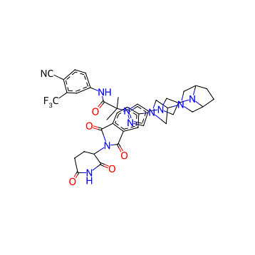 CC(C)(C(=O)Nc1ccc(C#N)c(C(F)(F)F)c1)n1cc(N2CC(N3C4CCC3CN(C3CN(c5ccc6c(c5)C(=O)N(C5CCC(=O)NC5=O)C6=O)C3)C4)C2)cn1